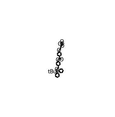 CC(C)(C)[Si](OCc1ccc(OC(=O)c2ccc(OCCOS(C)(=O)=O)cc2)cc1)(c1ccccc1)c1ccccc1